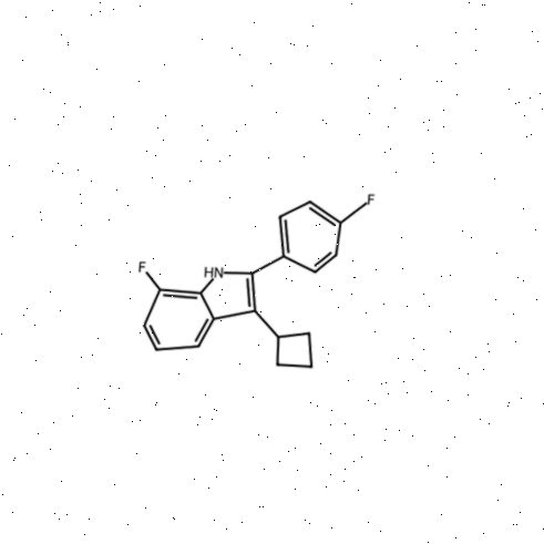 Fc1ccc(-c2[nH]c3c(F)cccc3c2C2CCC2)cc1